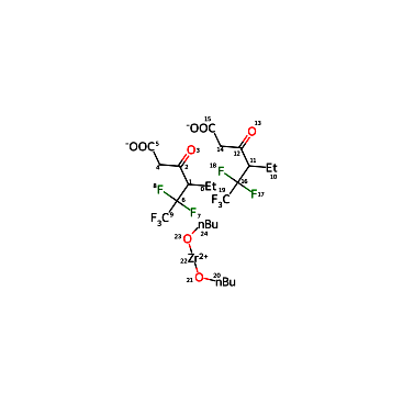 CCC(C(=O)CC(=O)[O-])C(F)(F)C(F)(F)F.CCC(C(=O)CC(=O)[O-])C(F)(F)C(F)(F)F.CCCC[O][Zr+2][O]CCCC